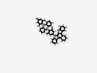 Cc1cc(C)c(B2c3ccccc3B(c3c(C)cc(-n4c5ccccc5c5c6ccccc6c6c7ccccc7sc6c54)cc3C)c3ccccc32)c(C)c1